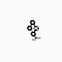 OB(O)c1cccc(-c2ncnc(-c3ccccc3-c3ccccc3)n2)c1